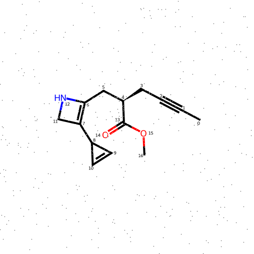 CC#CC[C@H](CC1=C(C2C=C2)CN1)C(=O)OC